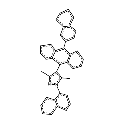 Cc1nn(-c2cccc3ccccc23)c(C)c1-c1c2ccccc2c(-c2ccc3ccccc3c2)c2ccccc12